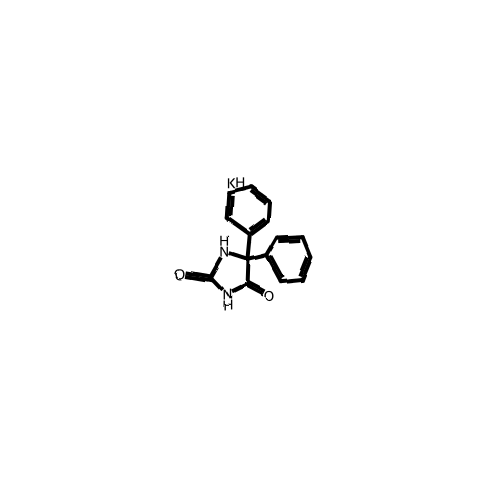 O=C1NC(=O)C(c2ccccc2)(c2ccccc2)N1.[KH]